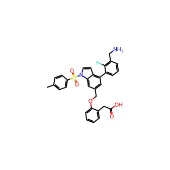 Cc1ccc(S(=O)(=O)n2ccc3c(-c4cccc(CN)c4F)cc(COc4ccccc4CC(=O)O)cc32)cc1